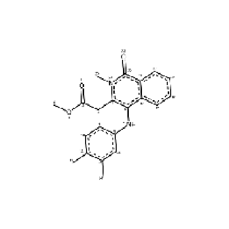 COC(=O)Cc1c(Nc2ccc(C)c(C)c2)c2ccccc2c(=O)n1C